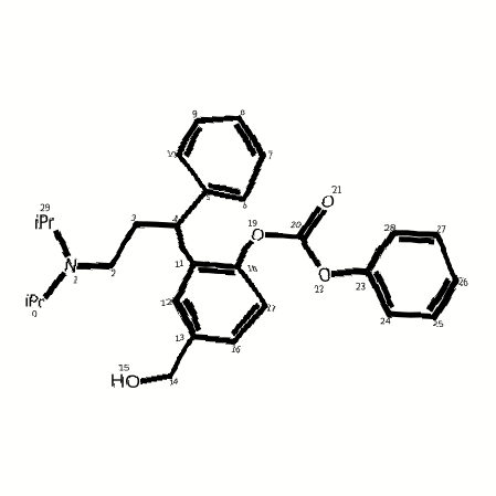 CC(C)N(CCC(c1ccccc1)c1cc(CO)ccc1OC(=O)Oc1ccccc1)C(C)C